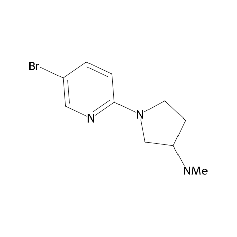 CNC1CCN(c2ccc(Br)cn2)C1